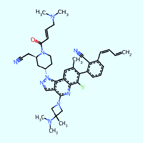 C=C/C=C\c1cccc(-c2c(C)cc3c(nc(N4CC(C)(N(C)C)C4)c4cnn([C@H]5CCN(C(=O)/C=C/CN(C)C)[C@H](CC#N)C5)c43)c2F)c1C#N